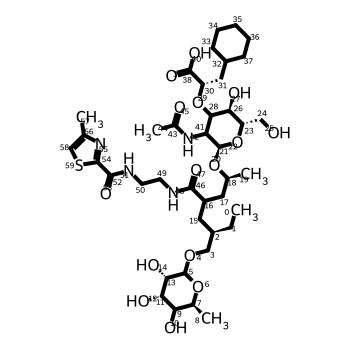 CC[C@@H](COC1O[C@@H](C)C(O)[C@H](O)[C@@H]1O)CC(C[C@H](C)O[C@@H]1O[C@@H](CO)[C@H](O)C(O[C@@H](CC2CCCCC2)C(=O)O)C1NC(C)=O)C(=O)NCCNC(=O)c1nc(C)cs1